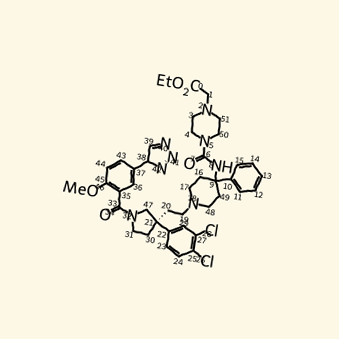 CCOC(=O)CN1CCN(C(=O)NC2(c3ccccc3)CCN(CC[C@]3(c4ccc(Cl)c(Cl)c4)CCN(C(=O)c4cc(C5C=NN=N5)ccc4OC)C3)CC2)CC1